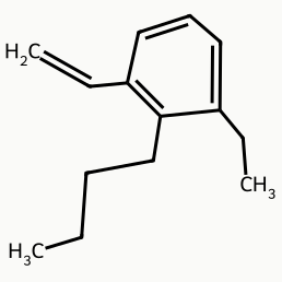 C=Cc1cccc(CC)c1CCCC